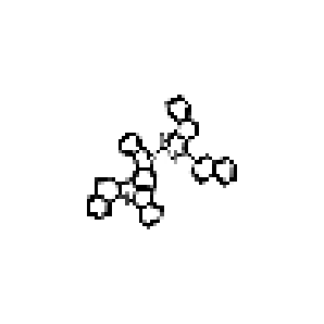 c1ccc2cc(-c3nc(-n4c5ccccc5c5c6c7ccc8ccccc8c7n7c8ccccc8c(cc54)c67)nc4c3ccc3ccccc34)ccc2c1